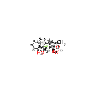 C[C@@H]1C[C@H]2[C@@H]3CCC4=CC=C=C[C@]4(C)[C@@]3(F)[C@@H](O)C[C@]2(C)[C@]12OCOC21COCO1